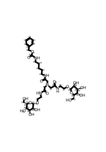 O=C(CN(CC(=O)NCCO[C@H]1O[C@H](CO)[C@@H](O)[C@H](O)[C@@H]1O)CC(=O)NCCO[C@H]1O[C@H](CO)[C@@H](O)[C@H](O)[C@@H]1O)NCCCCCNC(=O)OCc1ccccc1